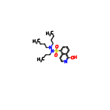 CCCCN(CCCC)N(CCC)S(=O)(=O)c1cccc2c(O)nccc12